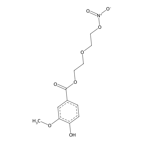 COc1cc(C(=O)OCCOCCO[N+](=O)[O-])ccc1O